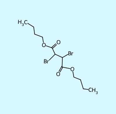 CCCCOC(=O)C(Br)C(Br)C(=O)OCCCC